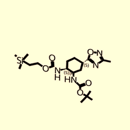 Cc1noc([C@H]2CC[C@H](NC(=O)OCC[Si](C)(C)C)[C@H](NC(=O)OC(C)(C)C)C2)n1